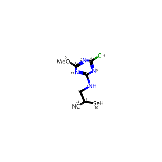 COc1nc(Cl)nc(NCC([SeH])C#N)n1